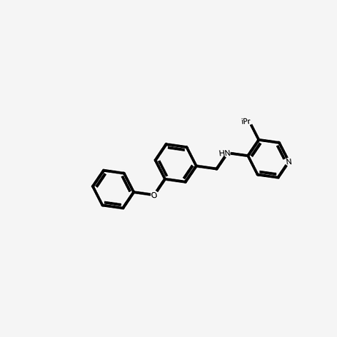 CC(C)c1cnccc1NCc1cccc(Oc2ccccc2)c1